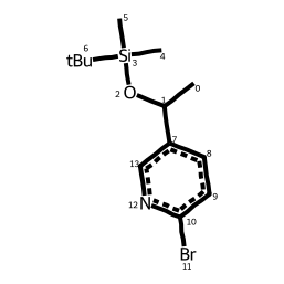 CC(O[Si](C)(C)C(C)(C)C)c1ccc(Br)nc1